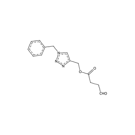 O=CCCC(=O)OCc1cn(Cc2ccccc2)nn1